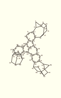 c1cc2c(c3c1C1CC14CC1CC3CC14)c1cc3cc4c(cc3c3c5c6c(ncc5n2c13)C1CC2CC(C1)CC6C2)C1CC2CC3(CC43)C2C1